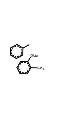 COc1ccccc1OC.Cc1ccccc1